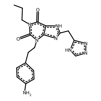 CCCn1c(=O)c2[nH]c(Cc3nnc[nH]3)nc2n(CCc2ccc(N)cc2)c1=O